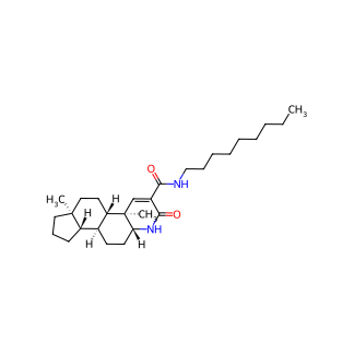 CCCCCCCCCNC(=O)C1=C[C@@]2(C)[C@@H](CC[C@H]3[C@@H]4CCC[C@@]4(C)CC[C@@H]32)NC1=O